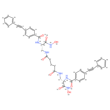 O=C(CCCC(=O)NC[C@H](NC(=O)c1ccc(C#Cc2ccccc2)cc1)C(=O)NO)NC[C@H](NC(=O)c1ccc(C#Cc2ccccc2)cc1)C(=O)NO